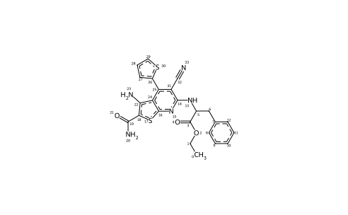 CCOC(=O)C(Cc1ccccc1)Nc1nc2sc(C(N)=O)c(N)c2c(-c2cccs2)c1C#N